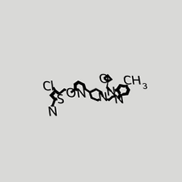 Cc1ccc2nc(CN3CCC(c4cccc(OCc5sc(C#N)cc5Cl)n4)CC3)n(C[C@@H]3CCO3)c2c1